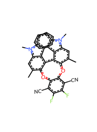 Cc1cc2c(c3ccccc3n2C)c2c1oc1c(C#N)c(F)c(F)c(C#N)c1oc1c(C)cc3c(c4ccccc4n3C)c12